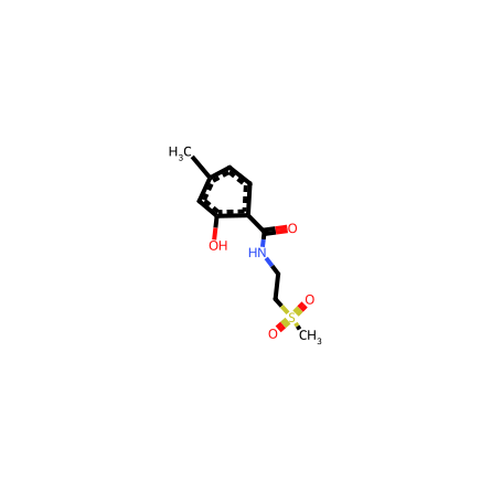 Cc1ccc(C(=O)NCCS(C)(=O)=O)c(O)c1